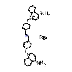 Nc1cc[n+](Cc2ccc(/C=C/c3ccc(C[n+]4ccc(N)c5ccccc54)cc3)cc2)c2ccccc12.[Br-].[Br-]